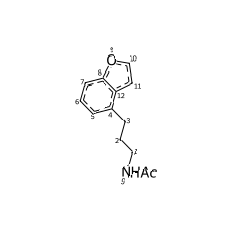 CC(=O)NCCCc1cccc2occc12